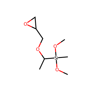 CO[Si](C)(OC)C(C)OCC1CO1